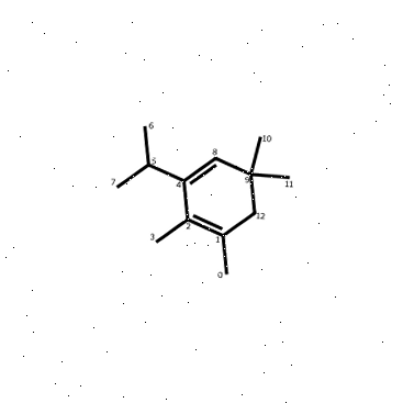 CC1=C(C)C(C(C)C)=CC(C)(C)C1